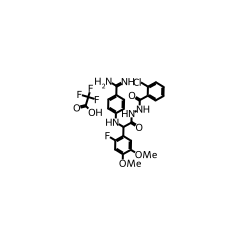 COc1cc(F)c(C(Nc2ccc(C(=N)N)cc2)C(=O)NNC(=O)c2ccccc2Cl)cc1OC.O=C(O)C(F)(F)F